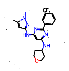 Cc1cc(Nc2cc(NC3CCOCC3)nc(-c3cccc(C(F)(F)F)c3)n2)n[nH]1